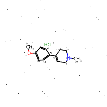 COc1ccc(C2=CCN(C)CC2)cc1.Cl